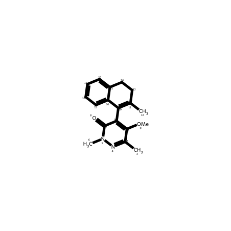 COc1c(C)nn(C)c(=O)c1C1=C(C)CCc2ccccc21